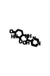 O=C1CCC(NC(O)c2ccncn2)C(=O)N1